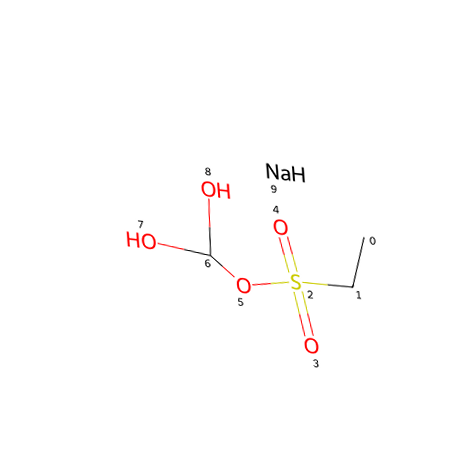 CCS(=O)(=O)OC(O)O.[NaH]